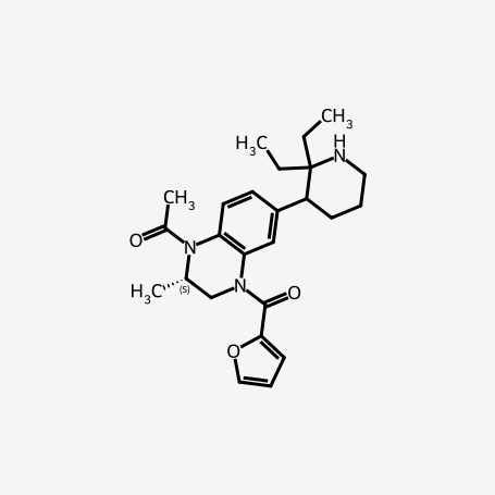 CCC1(CC)NCCCC1c1ccc2c(c1)N(C(=O)c1ccco1)C[C@H](C)N2C(C)=O